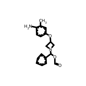 Cc1cc(OC2CN(C(OC=O)c3ccccc3)C2)ccc1N